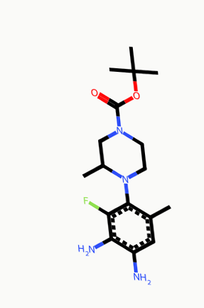 Cc1cc(N)c(N)c(F)c1N1CCN(C(=O)OC(C)(C)C)CC1C